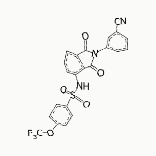 N#Cc1cccc(N2C(=O)c3cccc(NS(=O)(=O)c4ccc(OC(F)(F)F)cc4)c3C2=O)c1